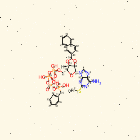 CCCSc1nc(N)c2ncn([C@@H]3O[C@H](COP(=O)(O)OP(=O)(O)OP(=O)(O)OP(=O)(O)Cc4ccccc4)[C@@H]4OC(c5ccc6ccccc6c5)OC43)c2n1